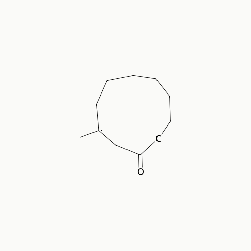 C[C]1CCCCCCCC(=O)C1